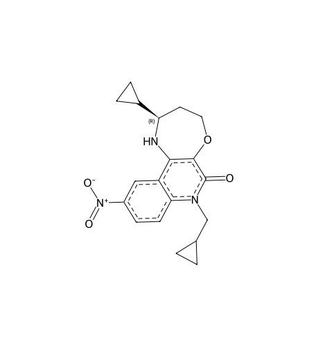 O=c1c2c(c3cc([N+](=O)[O-])ccc3n1CC1CC1)N[C@@H](C1CC1)CCO2